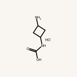 Cl.NC1CC(NC(=O)O)C1